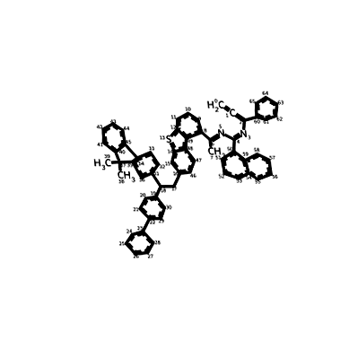 C=C=C(/N=C(\N=C(/C)c1cccc2sc3cc(CC(c4ccc(-c5ccccc5)cc4)c4ccc5c(c4)C(C)(C)c4ccccc4-5)ccc3c12)c1cccc2ccccc12)c1ccccc1